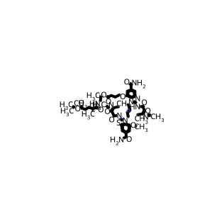 CCc1nc(C)oc1C(=O)/N=c1\sc2cc(C(N)=O)cc(OC)c2n1C/C=C/Cn1c(NC(=O)c2oc(C)nc2CC)nc2cc(C(N)=O)cc(OCCCC(=O)O[C@@H](C)CNC(=O)[C@@H](C)CCC(=O)OC(C)(C)C)c21